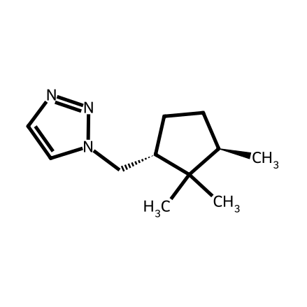 C[C@@H]1CC[C@@H](Cn2ccnn2)C1(C)C